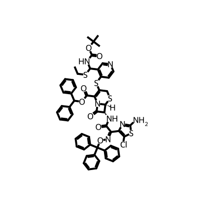 CCSC(NC(=O)OC(C)(C)C)c1cnccc1SC1=C(C(=O)OC(c2ccccc2)c2ccccc2)N2C(=O)[C@@H](NC(=O)/C(=N\OC(c3ccccc3)(c3ccccc3)c3ccccc3)c3nc(N)sc3Cl)[C@@H]2SC1